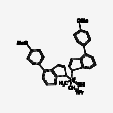 CCC[SiH]=[Hf]([CH3])([CH3])([CH]1C=Cc2c(-c3ccc(OC)cc3)cccc21)[CH]1C=Cc2c(-c3ccc(OC)cc3)cccc21